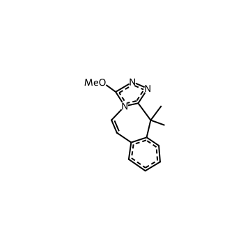 COc1nnc2n1C=Cc1ccccc1C2(C)C